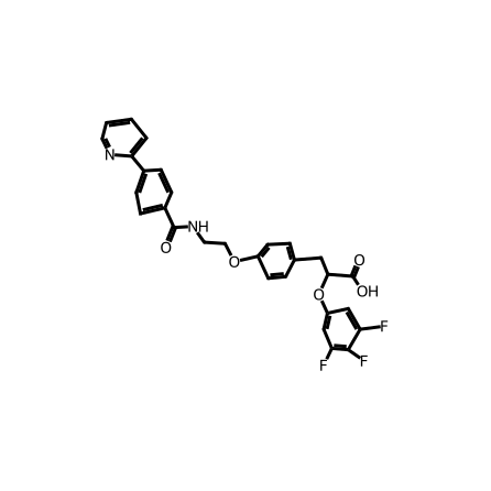 O=C(NCCOc1ccc(CC(Oc2cc(F)c(F)c(F)c2)C(=O)O)cc1)c1ccc(-c2ccccn2)cc1